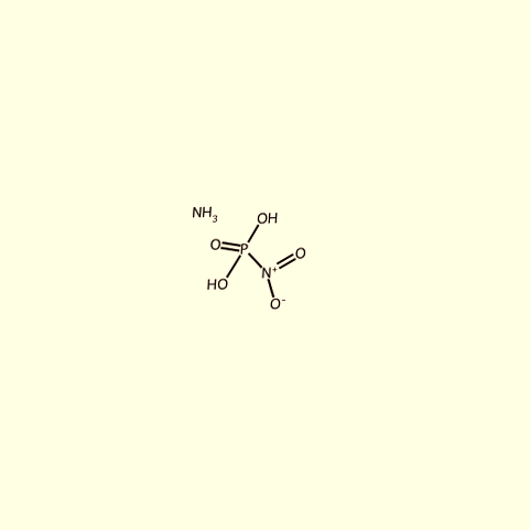 N.O=[N+]([O-])P(=O)(O)O